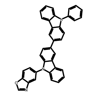 c1ccc(-n2c3ccccc3c3cc(-c4ccc5c(c4)c4ccccc4n5-c4ccc5ocnc5c4)ccc32)cc1